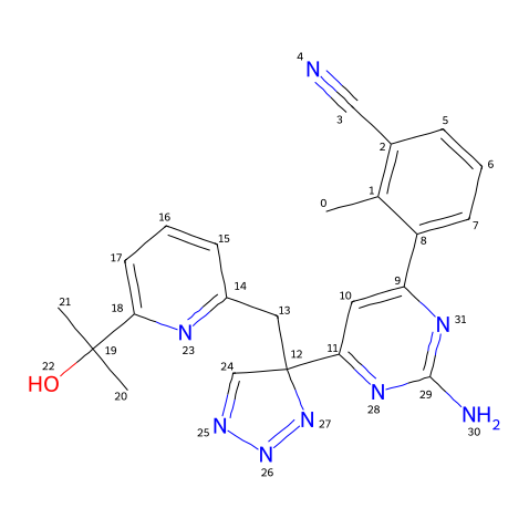 Cc1c(C#N)cccc1-c1cc(C2(Cc3cccc(C(C)(C)O)n3)C=NN=N2)nc(N)n1